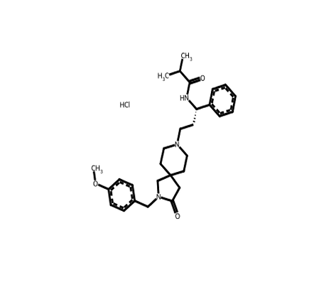 COc1ccc(CN2CC3(CCN(CC[C@H](NC(=O)C(C)C)c4ccccc4)CC3)CC2=O)cc1.Cl